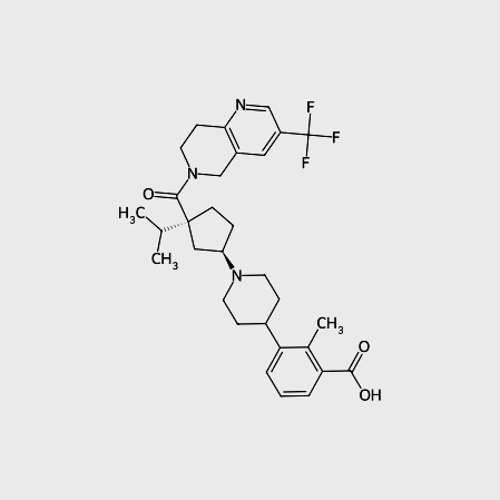 Cc1c(C(=O)O)cccc1C1CCN([C@@H]2CC[C@@](C(=O)N3CCc4ncc(C(F)(F)F)cc4C3)(C(C)C)C2)CC1